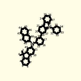 CC1(C)c2ccccc2-c2ccc(N(c3cccc(-c4ccc5c6ccccc6n(-c6ccccc6)c5c4)c3)c3ccc4ccccc4c3)cc21